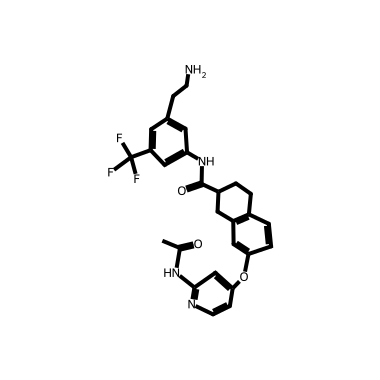 CC(=O)Nc1cc(Oc2ccc3c(c2)CC(C(=O)Nc2cc(CCN)cc(C(F)(F)F)c2)CC3)ccn1